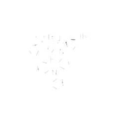 CC1(C)C2=C(B3c4ccccc4N(c4ccccc4)c4cccc(c43)N2c2ccc(C(C)(C)C)cc2)C2=C1C(C)(C)c1ccccc12